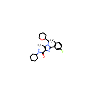 Cc1ccc(F)cc1-c1nc(C(=O)NC2CCCCC2)c(C)n1CC1CCCCO1